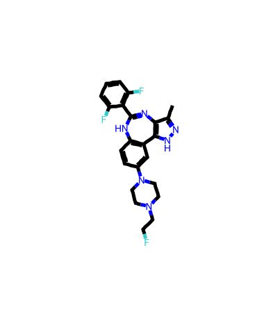 Cc1n[nH]c2c1N=C(c1c(F)cccc1F)Nc1ccc(N3CCN(CCF)CC3)cc1-2